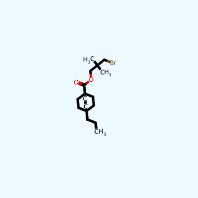 CCCC12CCC(C(=O)OCC(C)(C)CBr)(CC1)CC2